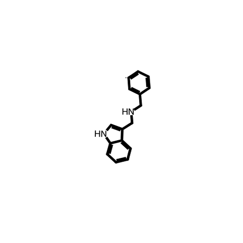 [c]1cccc(CNCc2c[nH]c3ccccc23)c1